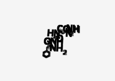 N[C@@H](Cc1ccccc1)C(=O)NCC(=O)N[C@@H](Cc1c[nH]cn1)C(=O)O